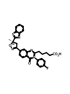 C[C@]1(c2nc3ccccc3s2)CC(c2ccc3c(=O)n(-c4ccc(F)cc4)c(CCCCC(=O)O)nc3c2)=NO1